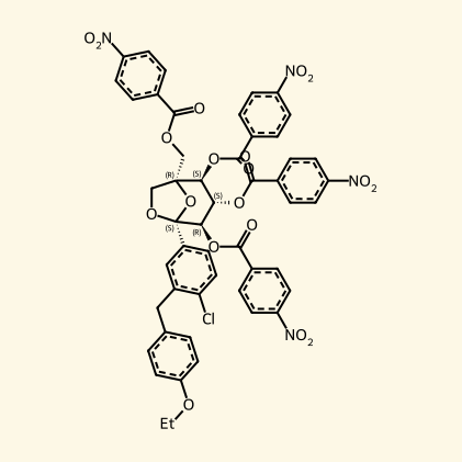 CCOc1ccc(Cc2cc([C@]34OC[C@](COC(=O)c5ccc([N+](=O)[O-])cc5)(O3)[C@@H](OC(=O)c3ccc([N+](=O)[O-])cc3)[C@H](OC(=O)c3ccc([N+](=O)[O-])cc3)[C@H]4OC(=O)c3ccc([N+](=O)[O-])cc3)ccc2Cl)cc1